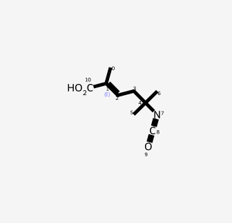 C/C(=C\CC(C)(C)N=C=O)C(=O)O